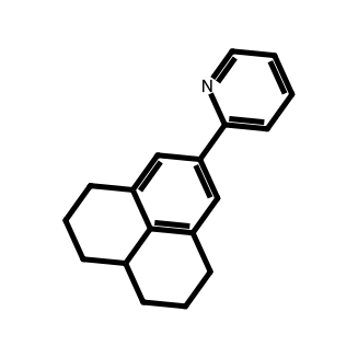 c1ccc(-c2cc3c4c(c2)CCCC4CCC3)nc1